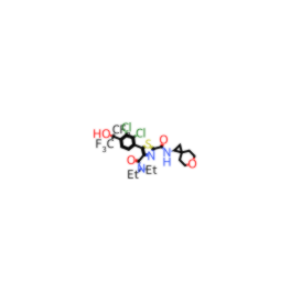 CCN(CC)C(=O)c1nc(C(=O)N[C@@H]2CC23CCOCC3)sc1-c1ccc(C(O)(C(F)(F)F)C(F)(F)F)c(Cl)c1Cl